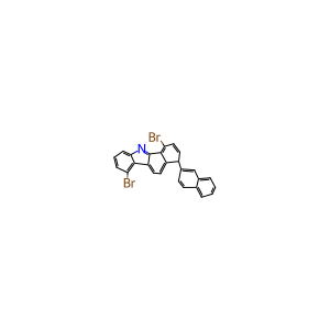 BrC1=c2c(ccc3c2=Nc2cccc(Br)c2-3)C(c2ccc3ccccc3c2)C=C1